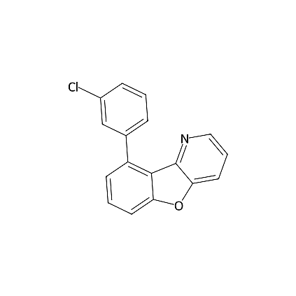 Clc1cccc(-c2cccc3oc4cccnc4c23)c1